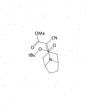 COC(=O)C(C#N)=C1CC2CCC(C1)N2C(=O)OC(C)(C)C